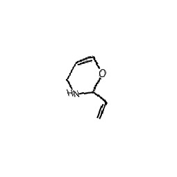 C=CC1NCC=CO1